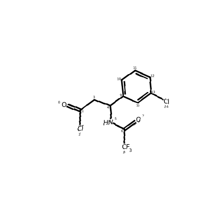 O=C(Cl)CC(NC(=O)C(F)(F)F)c1cccc(Cl)c1